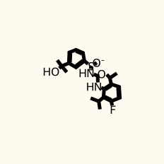 CC(C)c1ccc(F)c(C(C)C)c1NC(=O)N[S+]([O-])c1cccc(C(C)(C)O)c1